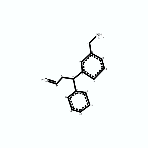 NCc1cccc(C(CC=O)c2ccccc2)c1